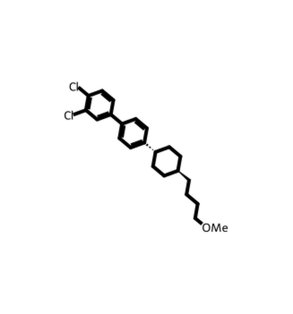 COCCCC[C@H]1CC[C@H](c2ccc(-c3ccc(Cl)c(Cl)c3)cc2)CC1